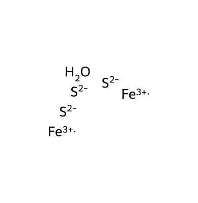 O.[Fe+3].[Fe+3].[S-2].[S-2].[S-2]